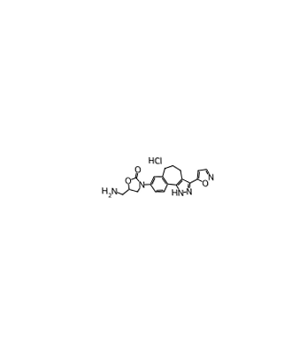 Cl.NCC1CN(c2ccc3c(c2)CCCc2c(-c4ccno4)n[nH]c2-3)C(=O)O1